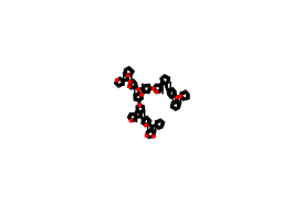 c1ccc(N(c2ccccc2)c2ccc(-n3c4ccccc4c4cc(-c5ccc6c(c5)c5cc(-c7ccc8c(c7)c7ccccc7n8-c7ccc(N(c8ccccc8)c8ccccc8)cc7)ccc5n6-c5ccc(N(c6ccccc6)c6ccccc6)cc5)ccc43)cc2)cc1